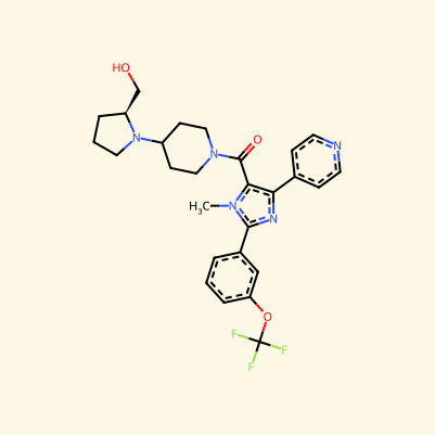 Cn1c(-c2cccc(OC(F)(F)F)c2)nc(-c2ccncc2)c1C(=O)N1CCC(N2CCC[C@H]2CO)CC1